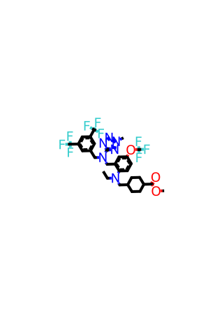 CCN(CC1CCC(C(=O)OC)CC1)c1ccc(OC(F)(F)F)cc1CN(Cc1cc(C(F)(F)F)cc(C(F)(F)F)c1)c1nnn(C)n1